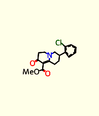 COC(=O)C1=C2CCC(c3ccccc3Cl)CN2CCC1=O